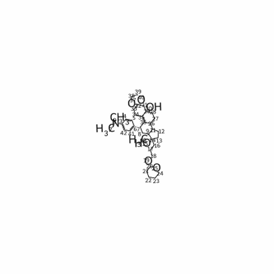 CN(C)c1ccc([C@H]2C[C@]3(C)C(CC[C@]3(O)CCCOC3CCCCO3)C3CC[C@@]4(O)CC5(CCC4=C32)OCCO5)cc1